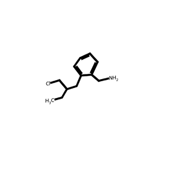 CCC(CCl)Cc1ccccc1CN